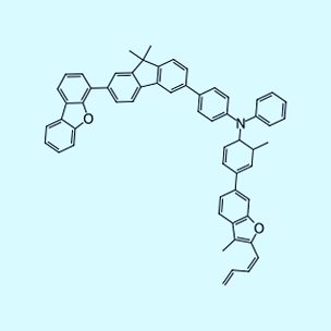 C=C/C=C\c1oc2cc(C3=CC(C)C(N(c4ccccc4)c4ccc(-c5ccc6c(c5)-c5ccc(-c7cccc8c7oc7ccccc78)cc5C6(C)C)cc4)C=C3)ccc2c1C